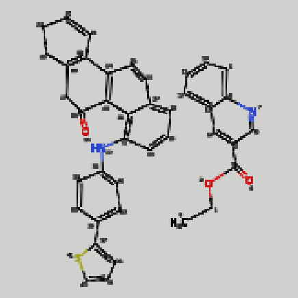 CCOC(=O)c1cnc2ccccc2c1.O=C1CC2=C(C=CCC2)c2ccc3cccc(Nc4ccc(-c5cccs5)cc4)c3c21